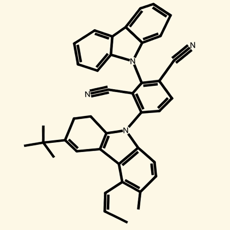 C/C=C\c1c(C)ccc2c1c1c(n2-c2ccc(C#N)c(-n3c4ccccc4c4ccccc43)c2C#N)CCC(C(C)(C)C)=C1